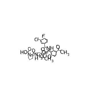 CC(=O)c1ccc2c(c1)[C@H](NC(=O)c1ccc(F)c(Cl)c1)[C@H](OC(=O)CNC(=O)[C@@H]1CCCN1C(=O)O)C(C)(C)O2